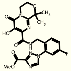 COC(=O)c1ncn(-c2cc(F)ccc2CNC(=O)c2nc3n(c(=O)c2O)CCOC3(C)C)n1